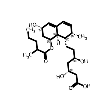 CCCC(C)C(=O)O[C@H]1C[C@H](O)C=C2C=C[C@H](C)[C@H](CC[C@@H](O)C[C@@H](O)CC(=O)O)[C@H]21